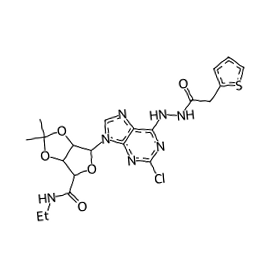 CCNC(=O)C1OC(n2cnc3c(NNC(=O)Cc4cccs4)nc(Cl)nc32)C2OC(C)(C)OC12